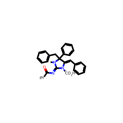 CC(C)C(=O)N=C1N(C(=O)O)C(=Cc2ccccc2)C(Cc2ccccc2)(c2ccccc2)N1C